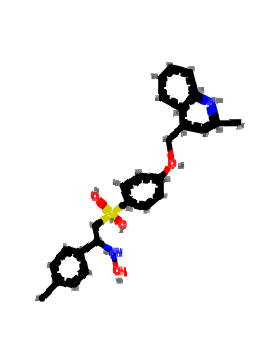 Cc1ccc(C(CS(=O)(=O)c2ccc(OCc3cc(C)nc4ccccc34)cc2)NO)cc1